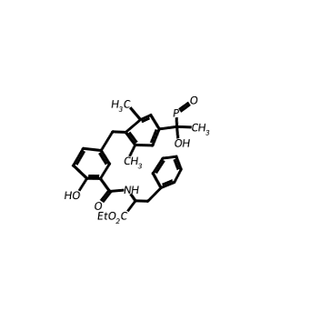 CCOC(=O)C(Cc1ccccc1)NC(=O)c1cc(Cc2c(C)cc(C(C)(O)P=O)cc2C)ccc1O